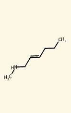 CCCC=CCNC